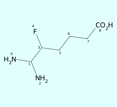 NC(N)C(F)CCCC(=O)O